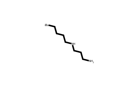 CCC(C)CCCCNCCCN